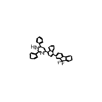 FC1(F)c2ccccc2-c2ccc(-c3ccc(C4=CC(c5ccccc5)NC(c5ccccc5)=N4)c4ccccc34)cc21